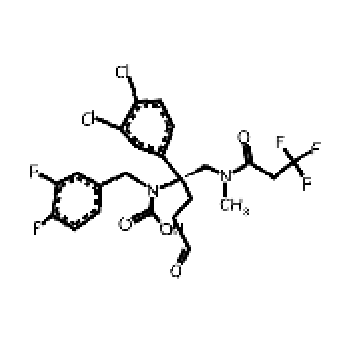 CN(C[C@](CCC=O)(c1ccc(Cl)c(Cl)c1)N(Cc1ccc(F)c(F)c1)C(=O)O)C(=O)CC(F)(F)F